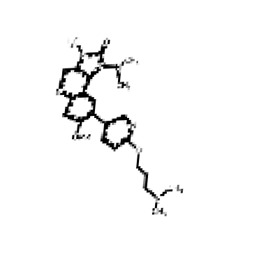 COc1cc2ncc3c(c2cc1-c1ccc(OCCCN(C)C)nc1)n(N(C)C)c(=O)n3C